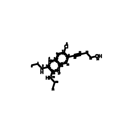 CCNc1nc2cc(Cl)c(C#CCCO)cc2nc1NCC